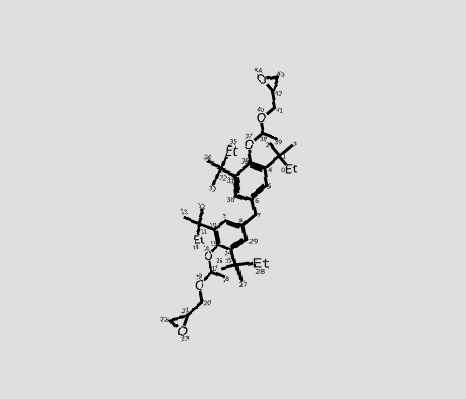 CCC(C)(C)c1cc(Cc2cc(C(C)(C)CC)c(OC(C)OCC3CO3)c(C(C)(C)CC)c2)cc(C(C)(C)CC)c1OC(C)OCC1CO1